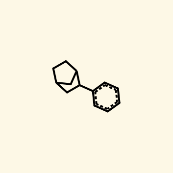 c1ccc([C]2CC3CCC2C3)cc1